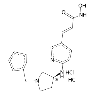 Cl.Cl.O=C(C=Cc1ccc(N[C@H]2CCN(Cc3ccccc3)C2)nc1)NO